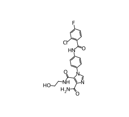 NC(=O)c1ncn(-c2ccc(NC(=O)c3ccc(F)cc3Cl)cc2)c1C(=O)NCCO